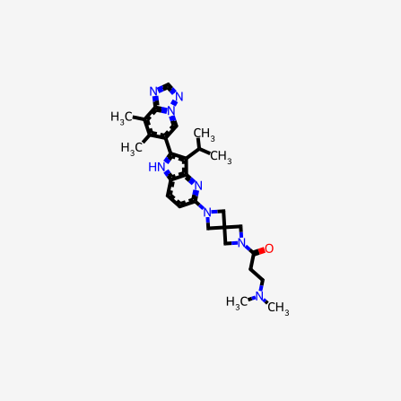 Cc1c(-c2[nH]c3ccc(N4CC5(CN(C(=O)CCN(C)C)C5)C4)nc3c2C(C)C)cn2ncnc2c1C